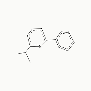 CC(C)c1cccc(-c2cccnc2)n1